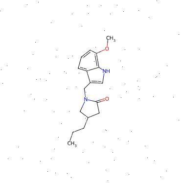 CCCC1CC(=O)N(Cc2c[nH]c3c(OC)cccc23)C1